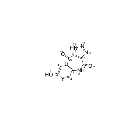 O=c1[nH]c2ccc(O)cc2c(=O)c2[nH]nnc12